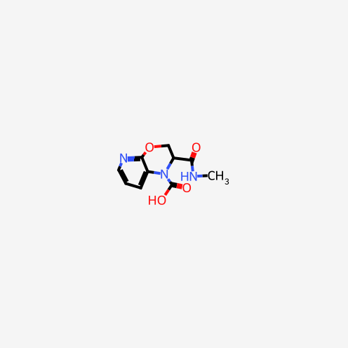 CNC(=O)C1COc2ncccc2N1C(=O)O